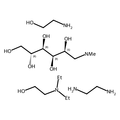 CCN(CC)CCO.CNC[C@H](O)[C@@H](O)[C@H](O)[C@H](O)CO.NCCN.NCCO